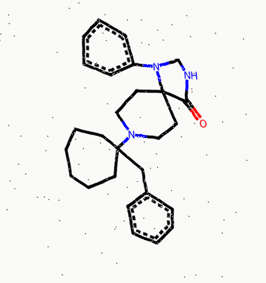 O=C1NCN(c2ccccc2)C12CCN(C1(Cc3ccccc3)CCCCCC1)CC2